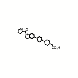 O=C(O)CC1CCC(c2ccc(-c3ccc4c(c3)CCN4C(=O)C3CCCN3)cc2)CC1